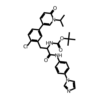 CC(C)n1cc(-c2ccc(Cl)c(CC(NC(=O)OC(C)(C)C)C(=O)Nc3ccc(-n4ccnc4)cc3)c2)ccc1=O